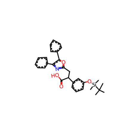 CC(C)(C)[Si](C)(C)Oc1cccc(C(Cc2nc(-c3ccccc3)c(-c3ccccc3)o2)C(=O)O)c1